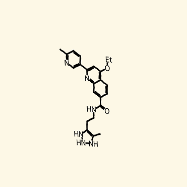 CCOc1cc(-c2ccc(C)nc2)nc2cc(C(=O)NCCC3=C(C)NNN3)ccc12